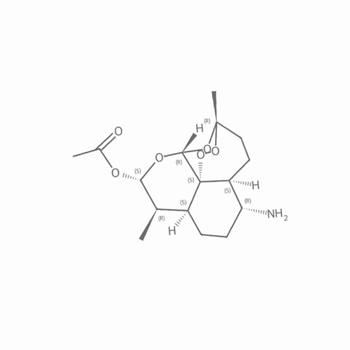 CC(=O)O[C@@H]1O[C@@H]2O[C@@]3(C)CC[C@H]4[C@H](N)CC[C@@H]([C@H]1C)[C@@]24OO3